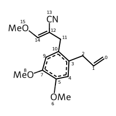 C=CCc1cc(OC)c(OC)cc1CC(C#N)=COC